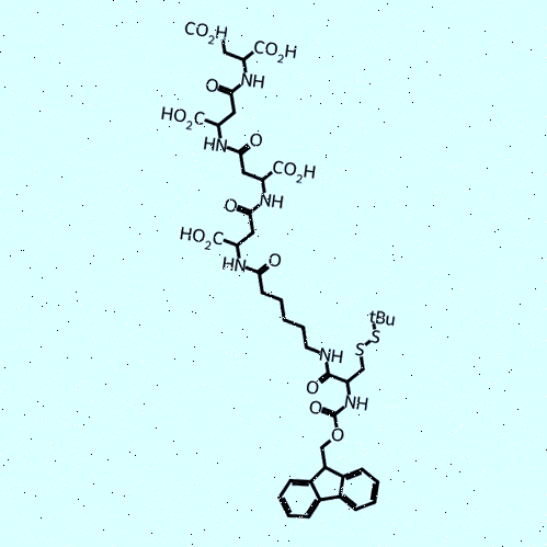 CC(C)(C)SSCC(NC(=O)OCC1c2ccccc2-c2ccccc21)C(=O)NCCCCCC(=O)NC(CC(=O)NC(CC(=O)NC(CC(=O)NC(CC(=O)O)C(=O)O)C(=O)O)C(=O)O)C(=O)O